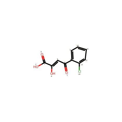 O=C(O)C(O)=CC(=O)c1ccccc1Cl